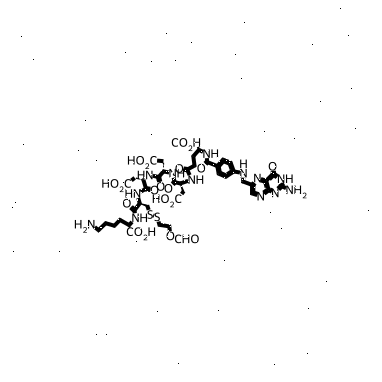 NCCCC[C@H](NC(=O)[C@H](CSSCCOC=O)NC(=O)[C@H](CC(=O)O)NC(=O)[C@H](CC(=O)O)NC(=O)[C@H](CC(=O)O)NC(=O)CC[C@H](NC(=O)c1ccc(NCc2cnc3nc(N)[nH]c(=O)c3n2)cc1)C(=O)O)C(=O)O